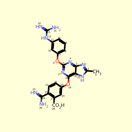 Cc1nc2nc(Oc3cccc(NC(=N)N)c3)nc(Oc3ccc(C(=N)N)c(C(=O)O)c3)c2[nH]1